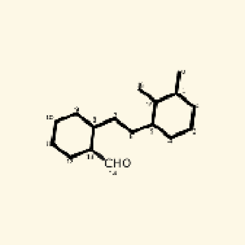 CC1CCCC(CCC2CCCCC2C=O)C1C